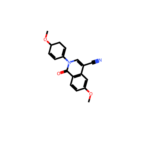 COc1ccc2c(=O)n(C3=CCC(OC)C=C3)cc(C#N)c2c1